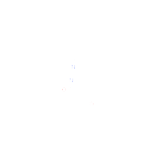 [O]C1CCC(C(=O)N2CCN(C3CCC3)CC2)CC1